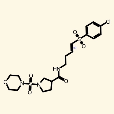 O=C(NCC/C=C/S(=O)(=O)c1ccc(Cl)cc1)C1CCN(S(=O)(=O)N2CCOCC2)C1